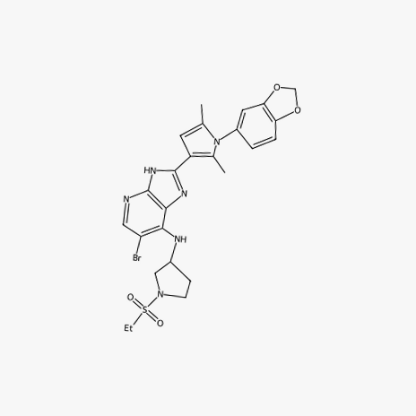 CCS(=O)(=O)N1CCC(Nc2c(Br)cnc3[nH]c(-c4cc(C)n(-c5ccc6c(c5)OCO6)c4C)nc23)C1